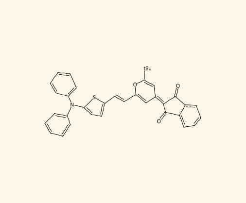 CC(C)(C)C1=CC(=C2C(=O)c3ccccc3C2=O)C=C(C=Cc2ccc(N(c3ccccc3)c3ccccc3)s2)O1